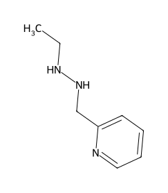 CCNNCc1ccccn1